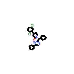 O=c1cc(-c2cc(Cl)ccc2Cl)ccn1[C@@H](c1ccccc1)c1ncc(-c2ccccc2)[nH]1